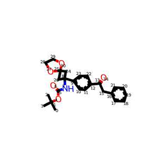 CC(C)(C)OC(=O)NC1(c2ccc(C(=O)Cc3ccccc3)cc2)CC2(C1)OCCO2